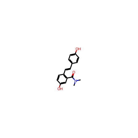 CN(C)C(=O)c1cc(O)ccc1C=Cc1ccc(O)cc1